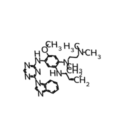 C=CC(=C)Nc1cc(Nc2ncnc(-n3cnc4ccccc43)n2)c(OC)cc1N(C)CCN(C)C